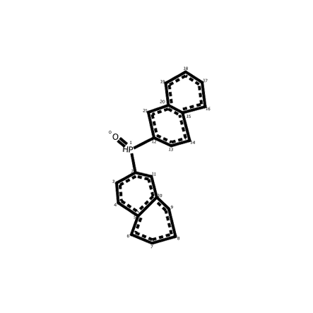 O=[PH](c1ccc2ccccc2c1)c1ccc2ccccc2c1